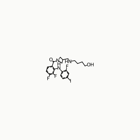 O=C(c1ccc(F)c(F)c1Nc1ccc(I)cc1F)N1CC(CNCCCCO)C1